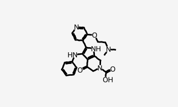 CN(C)CCOc1cnccc1-c1[nH]c2c(c1Nc1ccccc1)C(=O)CN(C(=O)O)C2